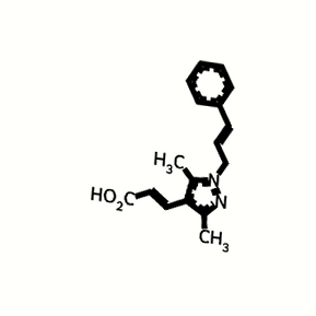 Cc1nn(CC=Cc2ccccc2)c(C)c1C=CC(=O)O